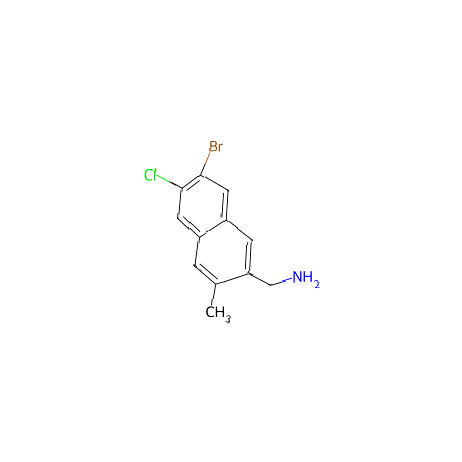 Cc1cc2cc(Cl)c(Br)cc2cc1CN